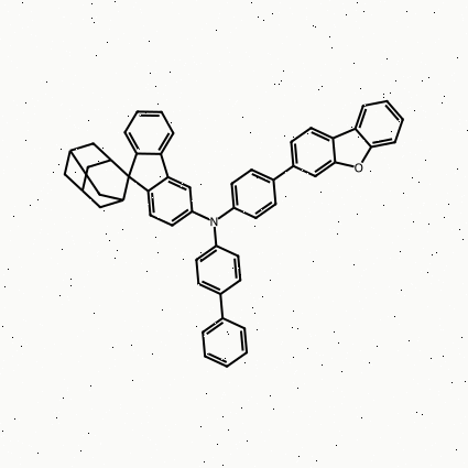 c1ccc(-c2ccc(N(c3ccc(-c4ccc5c(c4)oc4ccccc45)cc3)c3ccc4c(c3)-c3ccccc3C43C4CC5CC(C4)CC3C5)cc2)cc1